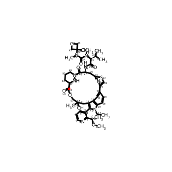 CCn1c(-c2cccnc2[C@H](C)OC)c2c3cc(ccc31)-c1csc(n1)C[C@H](NC(=O)[C@H](C(C)C)N(C)C(=O)N(C)C1(C)COC1)C(=O)N1CCCC(C=O)(COCC(C)(C)C2)N1